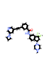 CN1CCN([C@H]2CC(F)(F)c3cc(NC(=O)c4cccc(C#Cc5cncc(N6CCC6)c5)c4)ccc32)CC1